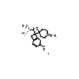 COc1ccc2c(c1)C(CN(C)C)(C1(O)CCN(C)CC1)C2